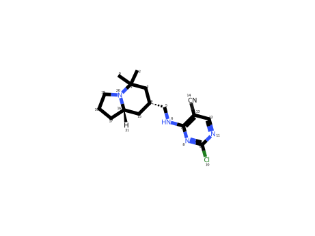 CC1(C)C[C@H](CNc2nc(Cl)ncc2C#N)C[C@@H]2CCCN21